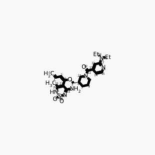 C=C/C=C(/OC[C@H]1CCCN(C(=O)c2ccnc(N(CC)CC)c2)C1)C1=C(C)NS(=O)(=O)N=C1N